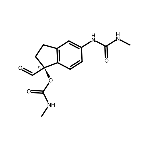 CNC(=O)Nc1ccc2c(c1)CC[C@]2(C=O)OC(=O)NC